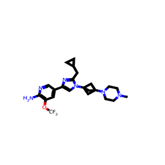 CN1CCN(C23CC(n4cc(-c5cnc(N)c(OC(F)(F)F)c5)nc4CC4CC4)(C2)C3)CC1